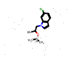 C[SiH](C)OC(Cn1ccc2ccc(Br)cc21)C(C)(C)C